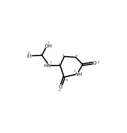 CCC(O)NC1CCC(=O)NC1=O